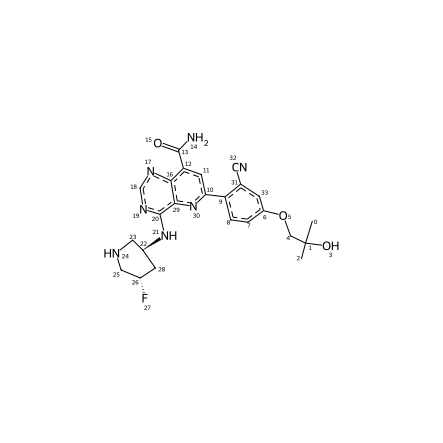 CC(C)(O)COc1ccc(-c2cc(C(N)=O)c3ncnc(N[C@@H]4CNC[C@@H](F)C4)c3n2)c(C#N)c1